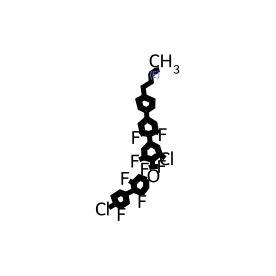 C/C=C/CCc1ccc(-c2cc(F)c(-c3cc(F)c(C(F)(F)Oc4cc(F)c(-c5ccc(Cl)c(F)c5)c(F)c4)c(Cl)c3)c(F)c2)cc1